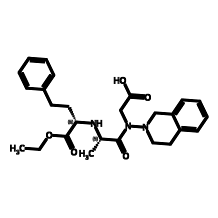 CCOC(=O)[C@H](CCc1ccccc1)N[C@@H](C)C(=O)N(CC(=O)O)N1CCc2ccccc2C1